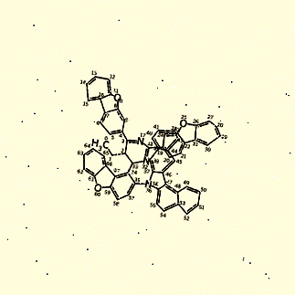 CCC1C(c2ccc3c(c2)oc2ccccc23)=NC(c2ccc3c(c2)oc2ccccc23)=NC1c1c(-n2c3cc4ccccc4cc3c3c4ccccc4ccc32)ccc2oc3ccccc3c12